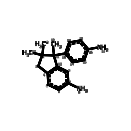 CC1(C)Cc2ccc(N)cc2C1(C)c1ccc(N)cc1